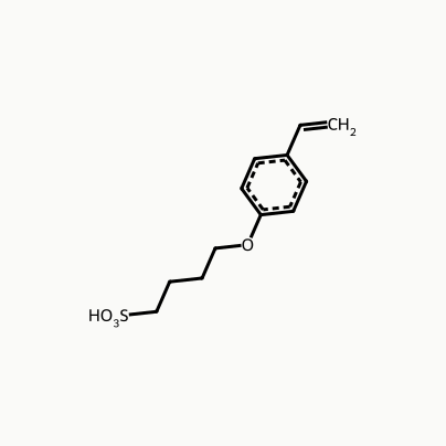 C=Cc1ccc(OCCCCS(=O)(=O)O)cc1